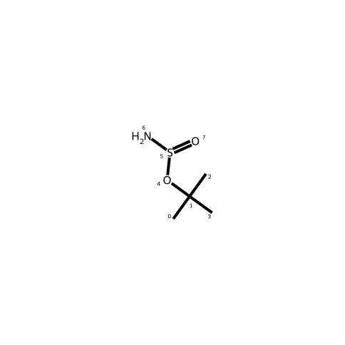 CC(C)(C)OS(N)=O